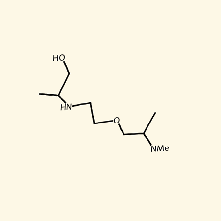 CNC(C)COCCNC(C)CO